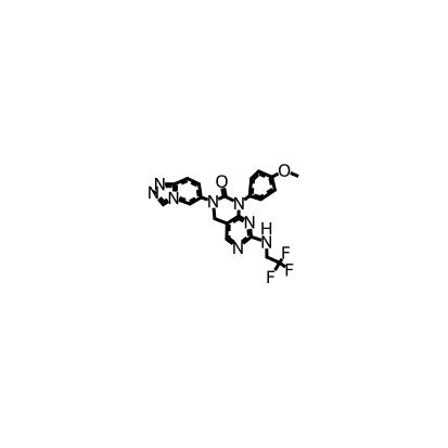 COc1ccc(N2C(=O)N(c3ccc4nncn4c3)Cc3cnc(NCC(F)(F)F)nc32)cc1